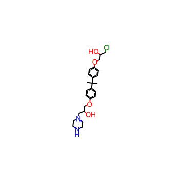 CC(C)(c1ccc(OCC(O)CCl)cc1)c1ccc(OCC(O)CN2CCNCC2)cc1